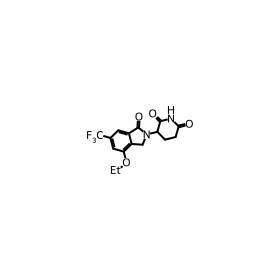 CCOc1cc(C(F)(F)F)cc2c1CN(C1CCC(=O)NC1=O)C2=O